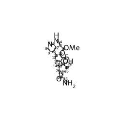 COC(=O)c1c[nH]c2nccc(-c3cc(C)c([C@@]4(O)[C@H](C)CN(C(=O)CN)C[C@@H]4C)c(F)c3)c12